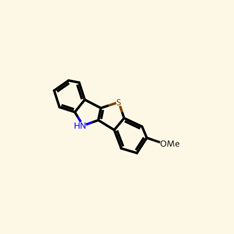 COc1ccc2c(c1)sc1c3ccccc3[nH]c21